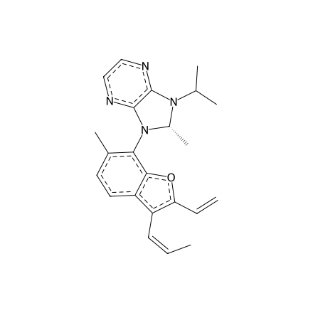 C=Cc1oc2c(N3c4nccnc4N(C(C)C)[C@@H]3C)c(C)ccc2c1/C=C\C